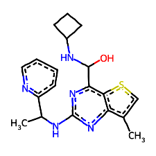 Cc1csc2c(C(O)NC3CCC3)nc(NC(C)c3ccccn3)nc12